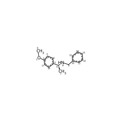 COc1ccc([C@H](C)NCc2ccccc2)cc1